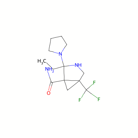 CCC1(N2CCCC2)NCC2(C(F)(F)F)CC12C(N)=O